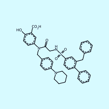 O=C(O)c1cc(N(Cc2ccc(N3CCCCC3)cc2)C(=O)CNS(=O)(=O)c2ccc(-c3ccccc3)c(Cc3ccccc3)c2)ccc1O